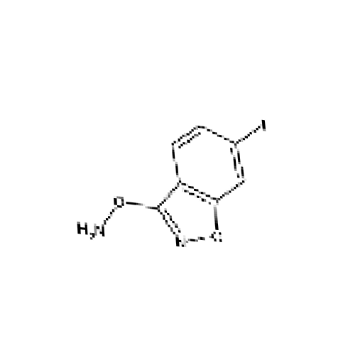 NOc1noc2cc(I)ccc12